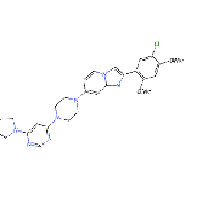 COc1cc(OC)c(-c2cn3ccc(N4CCN(c5cc(N6CCCC6)ncn5)CC4)cc3n2)cc1Cl